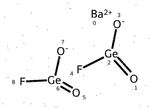 [Ba+2].[O]=[Ge]([O-])[F].[O]=[Ge]([O-])[F]